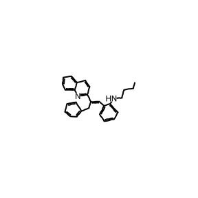 CCCCNc1ccccc1/C=C(\Cc1ccccc1)c1ccc2ccccc2n1